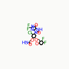 CNC(=O)COc1cc(Cl)c(-n2c(=O)[nH]c3c(OC)nc(C(F)F)nc32)cc1OCc1c(OC)ccc(F)c1F